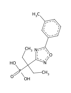 CCC(CC)(c1noc(-c2cccc(C)c2)n1)P(=O)(O)O